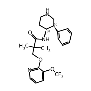 CC(C)(COc1ncccc1OC(F)(F)F)C(=O)N[C@H]1CCNC[C@H]1c1ccccc1